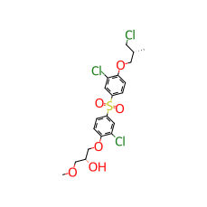 COC[C@@H](O)COc1ccc(S(=O)(=O)c2ccc(OC[C@@H](C)CCl)c(Cl)c2)cc1Cl